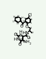 CC(COc1ccc(Cl)cc1C(=O)c1ccccc1)NC(=O)c1[nH]c(=O)[nH]c(=O)c1N